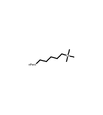 [CH2]CCCCCCCC[CH2][Ge]([CH3])([CH3])[CH3]